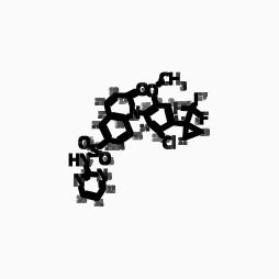 COc1cc(C2(C(F)(F)F)CC2)c(Cl)cc1-n1c(=O)ccc2cc(S(=O)(=O)Nc3ncccn3)ccc21